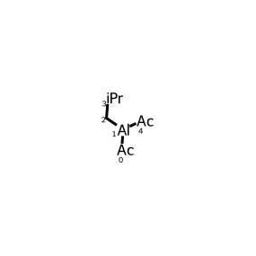 C[C](=O)[Al]([CH2]C(C)C)[C](C)=O